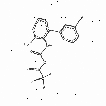 Cc1cccc(-c2cccc(F)c2)c1NC(=O)OC(=O)C(F)(F)F